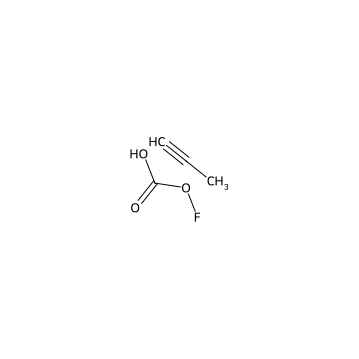 C#CC.O=C(O)OF